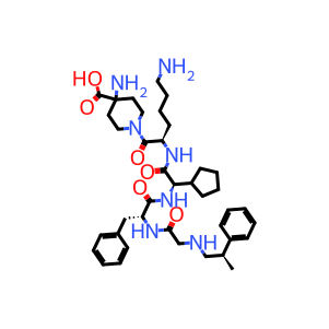 C[C@@H](CNCC(=O)N[C@H](Cc1ccccc1)C(=O)N[C@@H](C(=O)N[C@H](CCCCN)C(=O)N1CCC(N)(C(=O)O)CC1)C1CCCC1)c1ccccc1